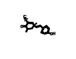 [C-]#[N+]C1=C[C@](C)(/C=C/c2ccc(O)cc2)CC(C)C1=O